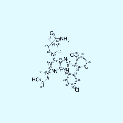 C[C@@H](O)CN(C)c1nc(N2CCC(C)(C(N)=O)CC2)c2nc(-c3ccccc3Cl)n(-c3ccc(Cl)cc3)c2n1